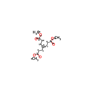 COC(=O)C[CH2][Sn]([CH2]CC(=O)OC)[CH2]CC(=O)OC